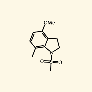 COc1ccc(C)c2c1CCN2S(C)(=O)=O